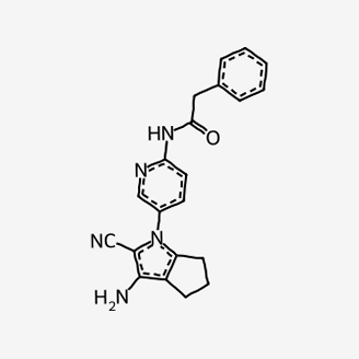 N#Cc1c(N)c2c(n1-c1ccc(NC(=O)Cc3ccccc3)nc1)CCC2